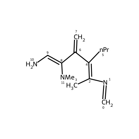 C=N/C(C)=C(\CCC)C(=C)/C(=C/N)NC